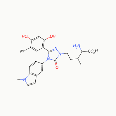 CC(C)c1cc(-c2nn(CCC(C)C(N)C(=O)O)c(=O)n2-c2ccc3c(ccn3C)c2)c(O)cc1O